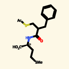 CSCC[C@H](NC(=O)C(CSC(C)=O)Cc1ccccc1)C(=O)O